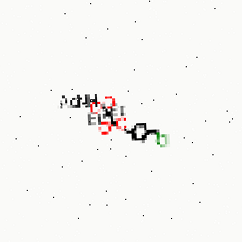 CCC(CC)(C(=O)OCc1ccc(CCl)cc1)C(=O)ONC(C)=O